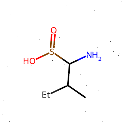 CCC(C)C(N)S(=O)O